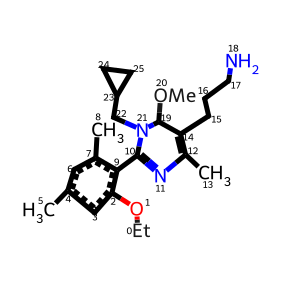 CCOc1cc(C)cc(C)c1C1=NC(C)=C(CCCN)C(OC)N1CC1CC1